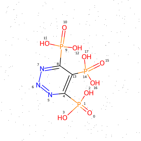 O=P(O)(O)c1nnnc(P(=O)(O)O)c1P(=O)(O)O